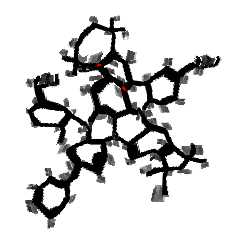 Cc1ccc(C(C)(C)C)cc1N1c2cc(-c3ccccc3)ccc2B2c3cc4c(cc3N(c3ccc(C(C)(C)C)cc3-c3ccc5c(c3)C(C)(C)CCC5(C)C)c3cc(C(C)(C)C)cc1c32)C(C)(C)CC4(C)C